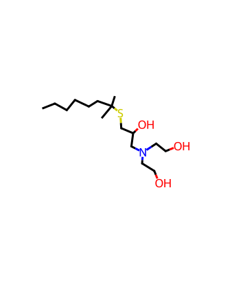 CCCCCCC(C)(C)SCC(O)CN(CCO)CCO